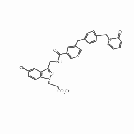 CCOC(=O)CCn1nc(CNC(=O)c2cncc(Cc3ccc(Cn4ccccc4=O)cc3)c2)c2cc(Cl)ccc21